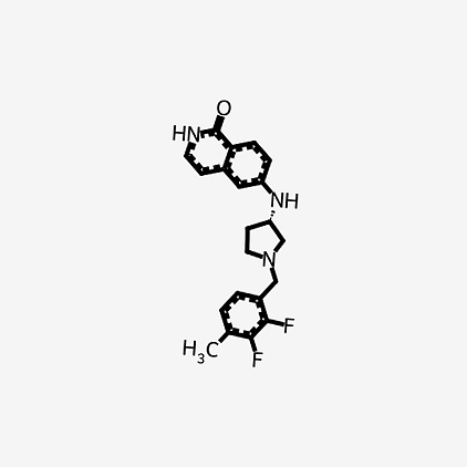 Cc1ccc(CN2CC[C@H](Nc3ccc4c(=O)[nH]ccc4c3)C2)c(F)c1F